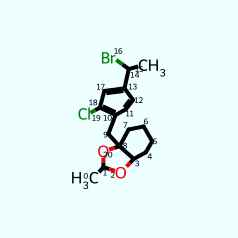 CC1OC2CCCCC2(Cc2ccc(C(C)Br)cc2Cl)O1